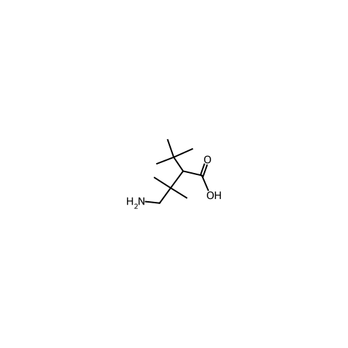 CC(C)(C)C(C(=O)O)C(C)(C)CN